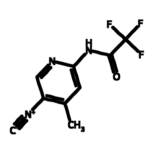 [C-]#[N+]c1cnc(NC(=O)C(F)(F)F)cc1C